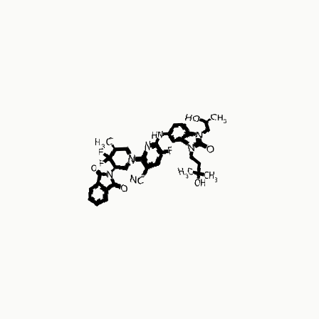 C[C@H](O)Cn1c(=O)n(CCC(C)(C)O)c2cc(Nc3nc(N4C[C@H](C)C(F)(F)[C@H](N5C(=O)c6ccccc6C5=O)C4)c(C#N)cc3F)ccc21